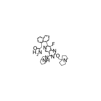 NC(=O)Cc1cccc2cccc(-c3ncc4c(N5CC6CCC(C5)N6)nc(OCC56CCCN5CCC6)nc4c3F)c12